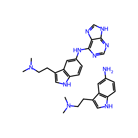 CN(C)CCc1c[nH]c2ccc(N)cc12.CN(C)CCc1c[nH]c2ccc(Nc3ncnc4[nH]cnc34)cc12